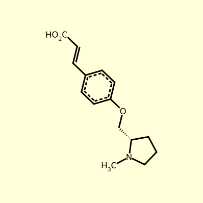 CN1CCC[C@H]1COc1ccc(C=CC(=O)O)cc1